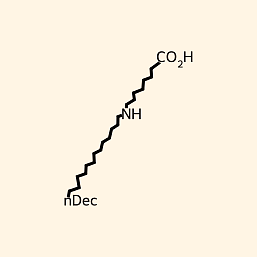 CCCCCCCCCCCCCCCCCCCCCCCNCCCCCCCCC(=O)O